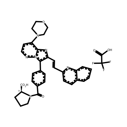 O=C(O)C(F)(F)F.O=C(O)[C@@H]1CCCN1C(=O)c1ccc(-c2c(C=Cc3ccc4ccccc4n3)nc3c(N4CCOCC4)ccnn23)cc1